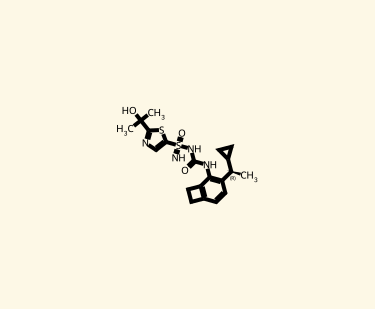 C[C@@H](c1ccc2c(c1NC(=O)NS(=N)(=O)c1cnc(C(C)(C)O)s1)CC2)C1CC1